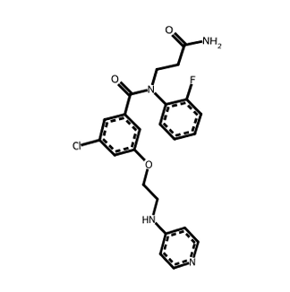 NC(=O)CCN(C(=O)c1cc(Cl)cc(OCCNc2ccncc2)c1)c1ccccc1F